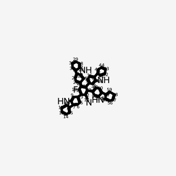 N#Cc1c(-c2ccc3c(c2)[nH]c2ccccc23)c(F)c(-c2ccc3c(c2)[nH]c2ccccc23)c(-c2ccc3c(c2)[nH]c2ccccc23)c1-c1ccc2c(c1)[nH]c1ccccc12